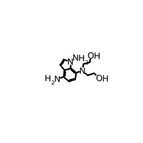 Nc1ccc(N(CCO)CCO)c2c1ccn2N